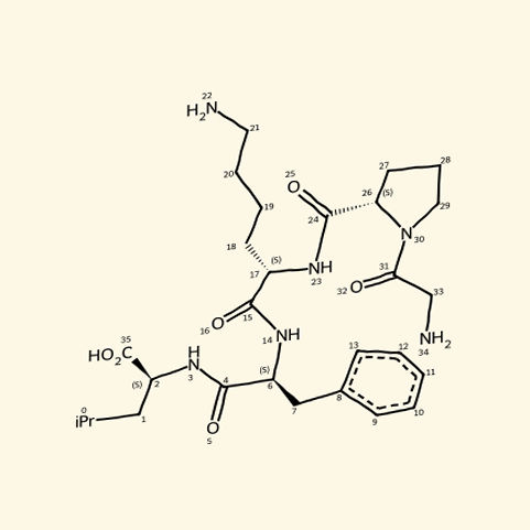 CC(C)C[C@H](NC(=O)[C@H](Cc1ccccc1)NC(=O)[C@H](CCCCN)NC(=O)[C@@H]1CCCN1C(=O)CN)C(=O)O